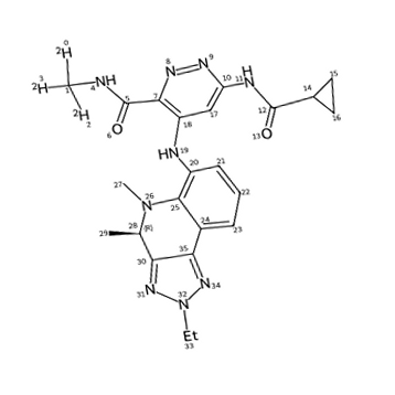 [2H]C([2H])([2H])NC(=O)c1nnc(NC(=O)C2CC2)cc1Nc1cccc2c1N(C)[C@H](C)c1nn(CC)nc1-2